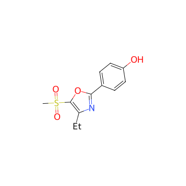 CCc1nc(-c2ccc(O)cc2)oc1S(C)(=O)=O